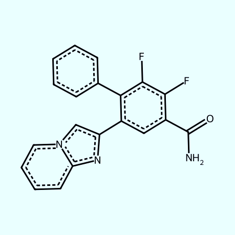 NC(=O)c1cc(-c2cn3ccccc3n2)c(-c2ccccc2)c(F)c1F